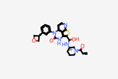 C=CC(=O)N1CCC[C@@H](NC(O)c2sc3nccc4c3c2NC(=O)N4c2cccc(C3COC3)c2)C1